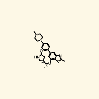 Cc1nc2cc(-c3ccc(N4CCN(C)CC4)cc3)cc(O[C@H](C)[C@H]3CNC(=O)C3)c2s1